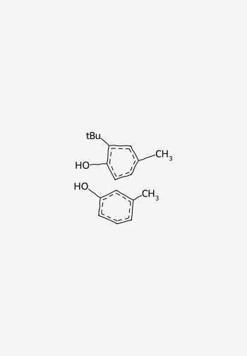 Cc1ccc(O)c(C(C)(C)C)c1.Cc1cccc(O)c1